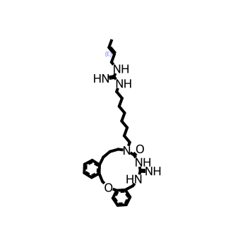 C/C=C/CNC(=N)NCCCCCCCCN1CCCc2ccccc2COc2ccccc2CNC(=N)NC1=O